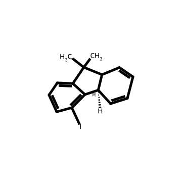 CC1(C)c2cccc(I)c2[C@@H]2C=CC=CC21